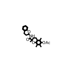 CC(=O)Oc1c(C)c(C)c2c(c1C)CCC(C)(C(=O)NC1CCc3ccccc3O1)O2